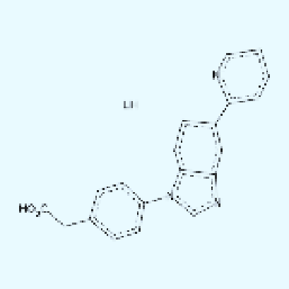 O=C(O)Cc1ccc(-n2cnc3cc(-c4ccccn4)ccc32)cc1.[LiH]